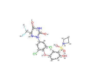 O=c1[nH]c(=O)n(-c2cc(Cl)c(Oc3ccc(O)c(S(=O)(=O)N4CCC4)c3)c(Cl)c2)nc1C(F)F